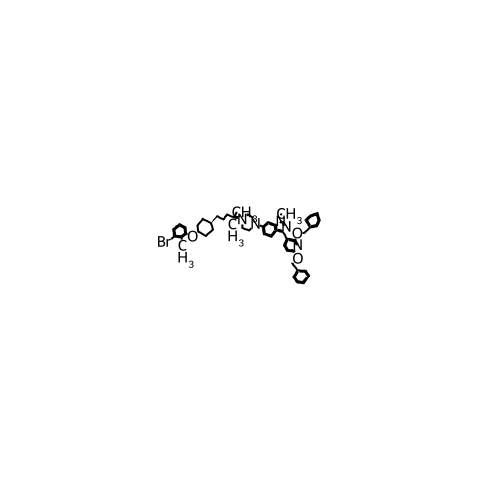 Cc1c(Br)cccc1O[C@H]1CC[C@H](CCCC(C)(C)N2CCN(c3ccc4c(-c5ccc(OCc6ccccc6)nc5OCc5ccccc5)nn(C)c4c3)CC2)CC1